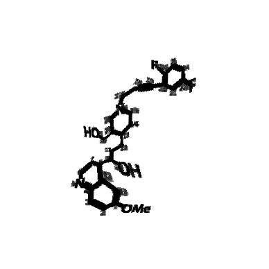 COc1ccc2nccc([C@H](O)CC[C@@H]3CCN(CC#Cc4cc(F)ccc4F)C[C@@H]3CO)c2c1